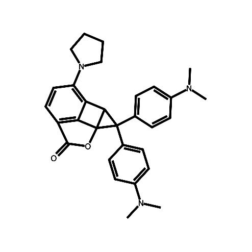 CN(C)c1ccc(C2(c3ccc(N(C)C)cc3)C3c4c(N5CCCC5)ccc5c4C32OC5=O)cc1